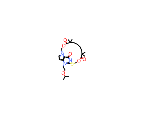 CC(C)OCCn1c2nc(=O)c3c1ccn3COC(=O)C(C)(C)CCCCC(C)(C)C(=O)OCS2